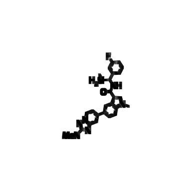 CNc1nc2cc(-c3ccc4c(c3)c(C(=O)NC([SiH2]C)c3cccc(F)c3)cn4C)ccn2n1